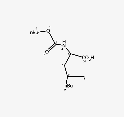 CCCCOC(=O)NC(CC(C)CCCC)C(=O)O